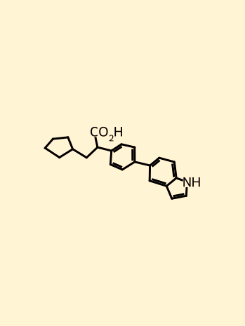 O=C(O)C(CC1CCCC1)c1ccc(-c2ccc3[nH]ccc3c2)cc1